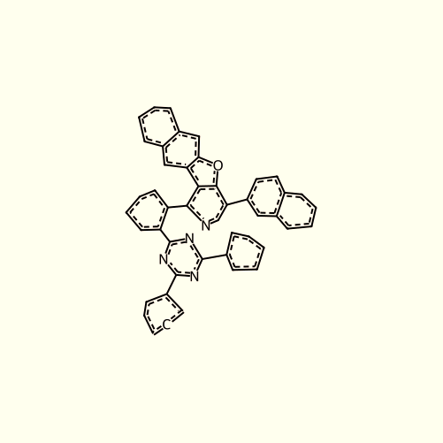 c1ccc(-c2nc(-c3ccccc3)nc(-c3ccccc3-c3ncc(-c4ccc5ccccc5c4)c4oc5cc6ccccc6cc5c34)n2)cc1